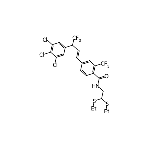 CCSC(CNC(=O)c1ccc(C=CC(c2cc(Cl)c(Cl)c(Cl)c2)C(F)(F)F)cc1C(F)(F)F)SCC